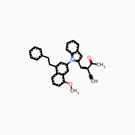 C#C/C(=C/c1cc2ccccc2n1-c1cc(CCc2ccccc2)c2cccc(OC)c2c1)C(C)=O